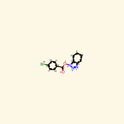 O=C(On1nnc2ccccc21)c1ccc(Br)cc1